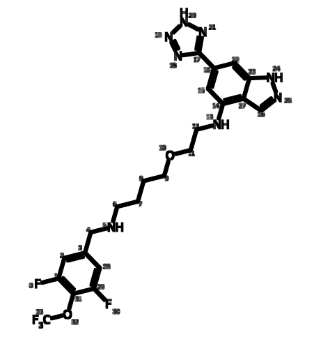 Fc1cc(CNCCCCOCCNc2cc(-c3nn[nH]n3)cc3[nH]ncc23)cc(F)c1OC(F)(F)F